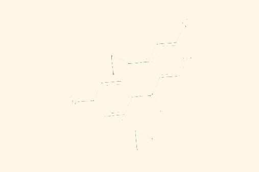 O=C(c1ccc([N+](=O)[O-])cc1C1CC1)c1ccc([N+](=O)[O-])cc1C1CC1